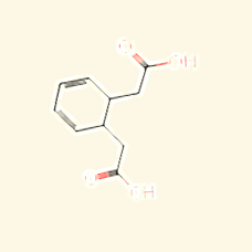 O=C(O)CC1C=CC=CC1CC(=O)O